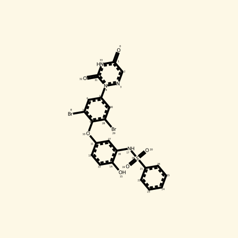 O=c1cnn(-c2cc(Br)c(Oc3ccc(O)c(NS(=O)(=O)c4ccccc4)c3)c(Br)c2)c(=O)[nH]1